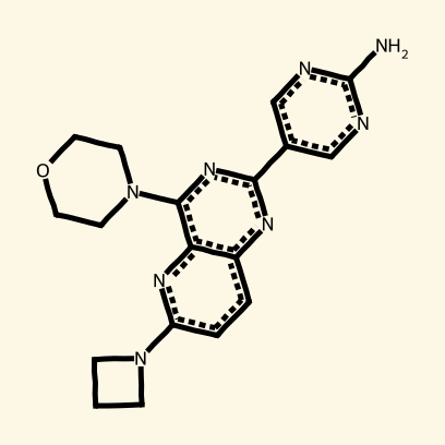 Nc1ncc(-c2nc(N3CCOCC3)c3nc(N4CCC4)ccc3n2)cn1